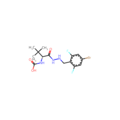 CC(C)(C)[C@H](NC(=O)O)C(=O)NNCc1c(F)cc(Br)cc1F